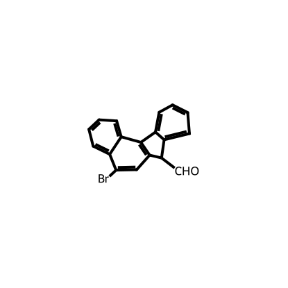 O=CC1c2ccccc2-c2c1cc(Br)c1ccccc21